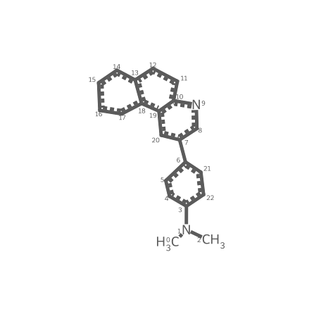 CN(C)c1ccc(-c2cnc3ccc4ccccc4c3c2)cc1